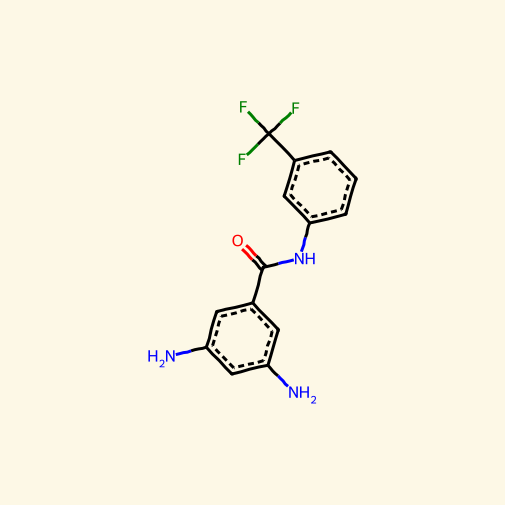 Nc1cc(N)cc(C(=O)Nc2cccc(C(F)(F)F)c2)c1